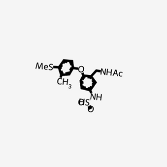 CSc1ccc(Oc2ccc(N[SH](=O)=O)cc2CNC(C)=O)cc1C